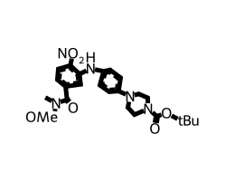 CON(C)C(=O)c1ccc([N+](=O)[O-])c(Nc2ccc(N3CCN(C(=O)OC(C)(C)C)CC3)cc2)c1